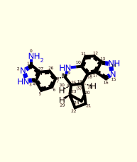 Nc1n[nH]c2ccc([C@@H]3Nc4ccc5[nH]ncc5c4[C@H]4C5CC[C@@H](C5)[C@@H]34)cc12